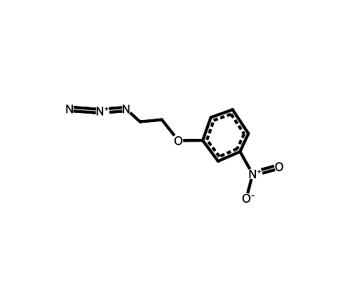 [N-]=[N+]=NCCOc1cccc([N+](=O)[O-])c1